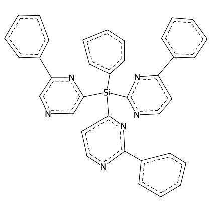 c1ccc(-c2cncc([Si](c3ccccc3)(c3ccnc(-c4ccccc4)n3)c3nccc(-c4ccccc4)n3)n2)cc1